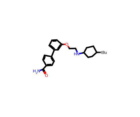 CC(C)(C)C1CCC(NCCOc2cccc(-c3ccc(C(N)=O)cc3)c2)CC1